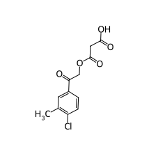 Cc1cc(C(=O)COC(=O)CC(=O)O)ccc1Cl